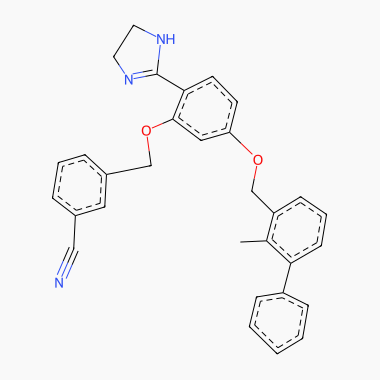 Cc1c(COc2ccc(C3=NCCN3)c(OCc3cccc(C#N)c3)c2)cccc1-c1ccccc1